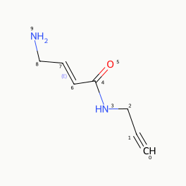 C#CCNC(=O)/C=C/CN